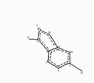 Cc1ccc2c(C)occ2c1